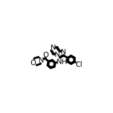 O=C(c1cccc(Nc2c(-c3ccc(Cl)cc3)nc3cnccn23)c1)N1CCOCC1